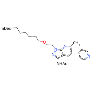 CCCCCCCCCCCCCCCCOCCn1nc(NC(C)=O)c2cc(-c3ccncc3)c(C)nc21